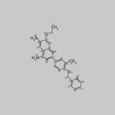 CCOc1cc2nc(-c3ccc(OCc4ccccn4)c(C)c3)nc(N)c2cc1N